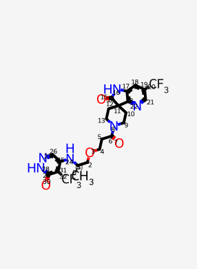 C[C@@H](COCCC(=O)N1CCC2(CC1)C(=O)Nc1cc(C(F)(F)F)cnc12)Nc1cn[nH]c(=O)c1C(F)(F)F